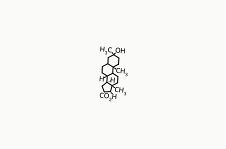 C[C@@]1(O)CC[C@@]2(C)C(CC[C@@H]3C2CC[C@]2(C)[C@@H](C(=O)O)CC[C@@H]32)C1